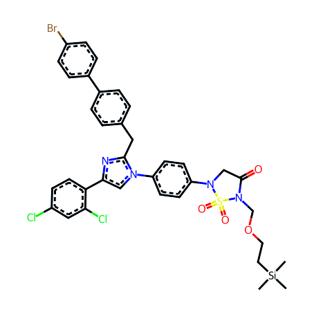 C[Si](C)(C)CCOCN1C(=O)CN(c2ccc(-n3cc(-c4ccc(Cl)cc4Cl)nc3Cc3ccc(-c4ccc(Br)cc4)cc3)cc2)S1(=O)=O